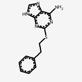 Nc1nc(SCCc2ccccc2)nc2[nH]cnc12